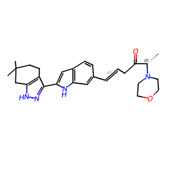 C[C@@H](C(=O)C/C=C/c1ccc2cc(-c3n[nH]c4c3CCC(C)(C)C4)[nH]c2c1)N1CCOCC1